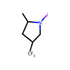 CC1CC(C(F)(F)F)CN1I